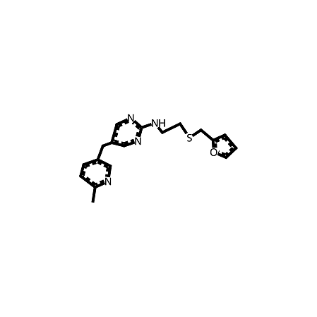 Cc1ccc(Cc2cnc(NCCSCc3ccco3)nc2)cn1